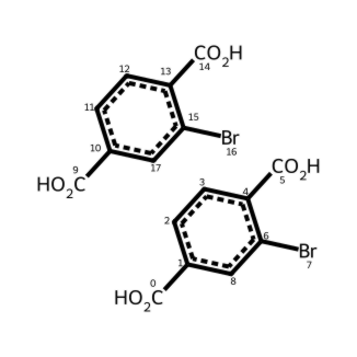 O=C(O)c1ccc(C(=O)O)c(Br)c1.O=C(O)c1ccc(C(=O)O)c(Br)c1